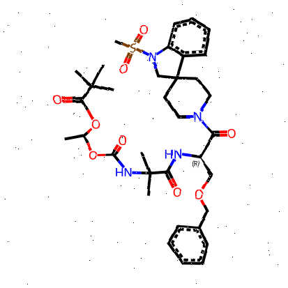 CC(OC(=O)NC(C)(C)C(=O)N[C@H](COCc1ccccc1)C(=O)N1CCC2(CC1)CN(S(C)(=O)=O)c1ccccc12)OC(=O)C(C)(C)C